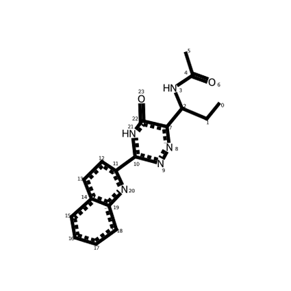 CCC(NC(C)=O)c1nnc(-c2ccc3ccccc3n2)[nH]c1=O